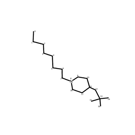 CCCCCCCCN1CCC(CC(C)(C)C)CC1